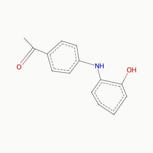 CC(=O)c1ccc(Nc2ccccc2O)cc1